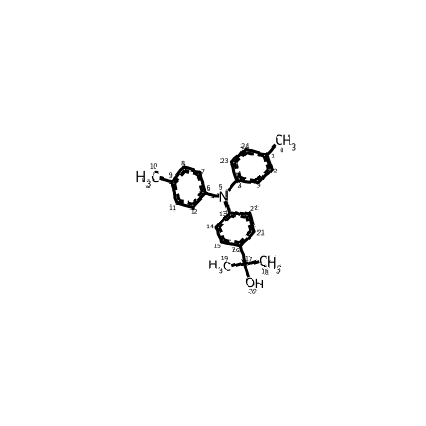 Cc1ccc(N(c2ccc(C)cc2)c2ccc(C(C)(C)O)cc2)cc1